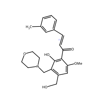 COc1cc(CO)c(CN2CCOCC2)c(O)c1C(=O)/C=C/c1cccc(C)c1